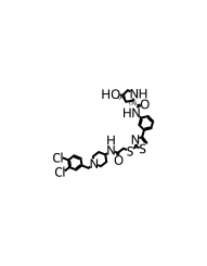 O=C(CSc1nc(-c2cccc(NC(=O)[C@@H]3C[C@@H](O)CN3)c2)cs1)NC1CCN(Cc2ccc(Cl)c(Cl)c2)CC1